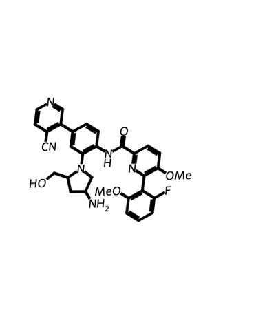 COc1ccc(C(=O)Nc2ccc(-c3cnccc3C#N)cc2N2CC(N)CC2CO)nc1-c1c(F)cccc1OC